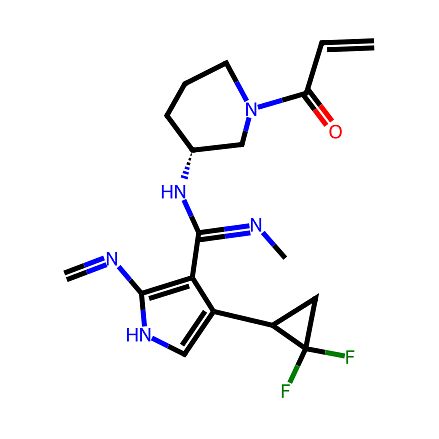 C=CC(=O)N1CCC[C@@H](N/C(=N/C)c2c(C3CC3(F)F)c[nH]c2N=C)C1